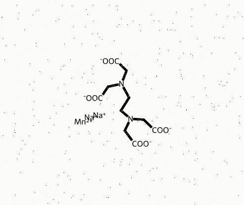 O=C([O-])CN(CCN(CC(=O)[O-])CC(=O)[O-])CC(=O)[O-].[Mn+2].[Na+].[Na+]